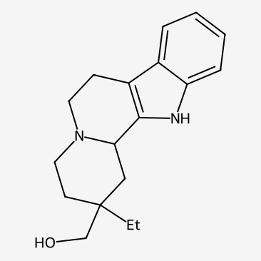 CCC1(CO)CCN2CCc3c([nH]c4ccccc34)C2C1